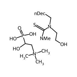 CCCCCCCCCCCN(CCO)C(=S)NC.C[N+](C)(C)CC(O)P(=O)(O)O